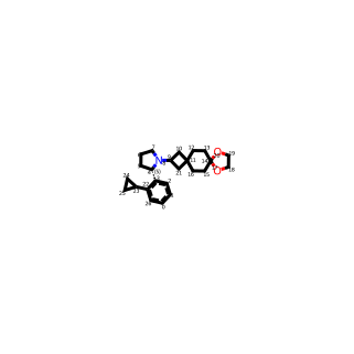 c1ccc([C@@H]2CCCN2C2CC3(CCC4(CC3)OCCO4)C2)c(C2CC2)c1